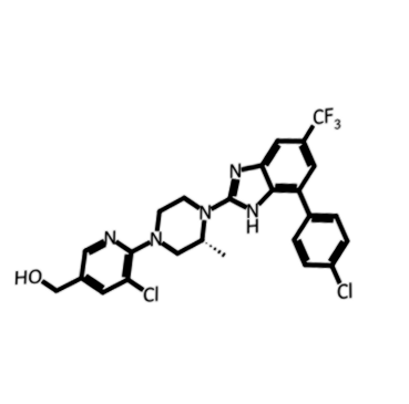 C[C@@H]1CN(c2ncc(CO)cc2Cl)CCN1c1nc2cc(C(F)(F)F)cc(-c3ccc(Cl)cc3)c2[nH]1